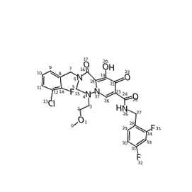 COCCN1CN(Cc2cccc(Cl)c2F)C(=O)c2c(O)c(=O)c(C(=O)NCc3ccc(F)cc3F)cn21